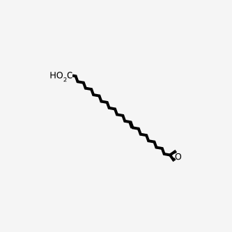 O=C(O)CCCCCCCCCCCCCCC=CCCCCCCCCC1COC1